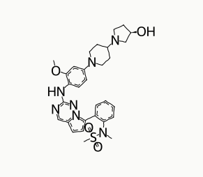 COc1cc(N2CCC(N3CC[C@@H](O)C3)CC2)ccc1Nc1ncc2ccc(-c3ccccc3N(C)S(C)(=O)=O)n2n1